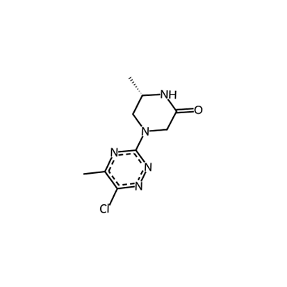 Cc1nc(N2CC(=O)N[C@@H](C)C2)nnc1Cl